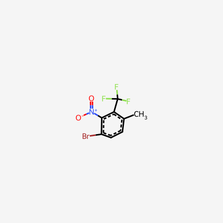 Cc1ccc(Br)c([N+](=O)[O-])c1C(F)(F)F